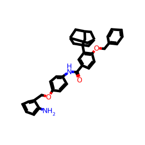 Nc1ccccc1COc1ccc(NC(=O)c2ccc(OCc3ccccc3)c(C34CC5CC(CC(C5)C3)C4)c2)cc1